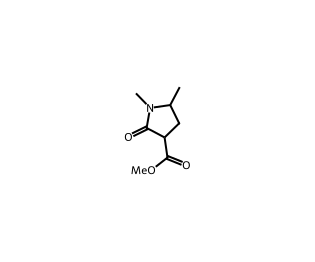 COC(=O)C1CC(C)N(C)C1=O